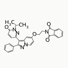 CC(C)n1nc(-c2c(-c3ccccc3)nn3ccc(OCCN4C(=O)c5ccccc5C4=O)cc23)ccc1=O